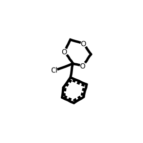 ClC1(c2ccccc2)OCOCO1